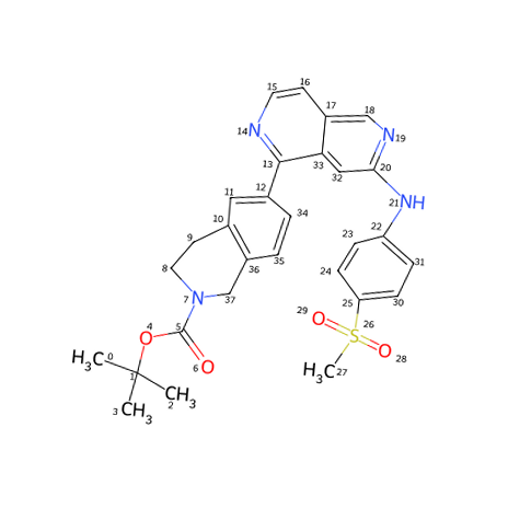 CC(C)(C)OC(=O)N1CCc2cc(-c3nccc4cnc(Nc5ccc(S(C)(=O)=O)cc5)cc34)ccc2C1